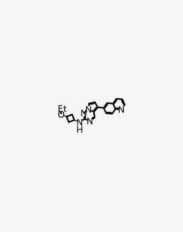 CCO[C@H]1C[C@@H](Nc2ncc3c(-c4ccc5ncccc5c4)ccn3n2)C1